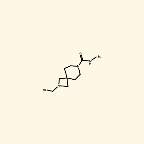 CC(C)(C)CN1CC2(CCN(C(=O)NC(C)(C)C)CC2)C1